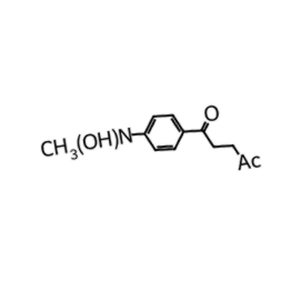 CC(=O)CCC(=O)c1ccc(N(C)O)cc1